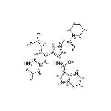 CC1CNc2cc(OC(F)F)c(-c3nn(CC(=O)N4CCCCC4)cc3NC(=O)c3cnn4cccnc34)cc2S1